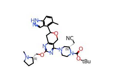 Cc1ccc2[nH]ncc2c1C1Cc2nc(OC[C@@H]3CCCN3C)nc(N3CCN(C(=O)OC(C)(C)C)[C@@H](CC#N)C3)c2CO1